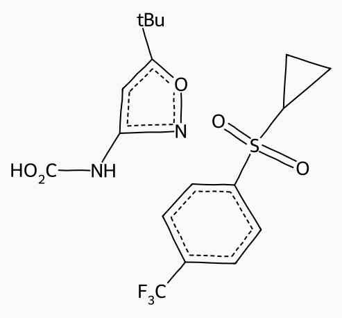 CC(C)(C)c1cc(NC(=O)O)no1.O=S(=O)(c1ccc(C(F)(F)F)cc1)C1CC1